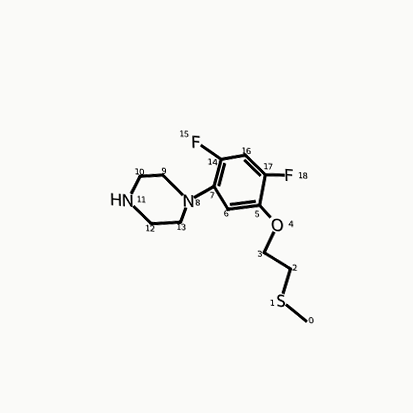 CSCCOc1cc(N2CCNCC2)c(F)cc1F